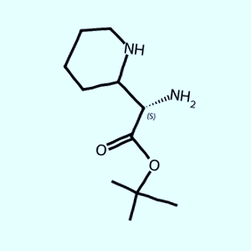 CC(C)(C)OC(=O)[C@@H](N)C1CCCCN1